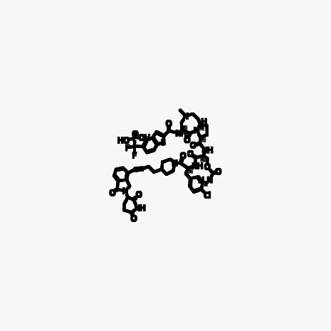 CN1CC[C@H]2CC[C@@H](C(=O)N[C@@H](COC(N)=O)C(=O)N[C@@H](Cc3ccc(Cl)cc3)C(=O)N3CCC(CCC#Cc4cccc5c4CN(C4CCC(=O)NC4=O)C5=O)CC3)N2C(=O)[C@@H](NC(=O)c2cc3cc(C(F)(F)P(=O)(O)O)ccc3s2)C1